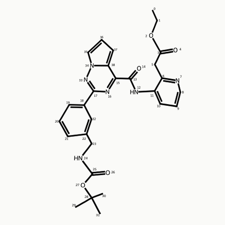 CCOC(=O)Cc1ncccc1NC(=O)c1nc(-c2cccc(CNC(=O)OC(C)(C)C)c2)nn2cccc12